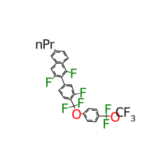 CCCc1ccc2c(F)c(-c3ccc(C(F)(F)Oc4ccc(C(F)(F)OC(F)(F)F)cc4)c(F)c3)c(F)cc2c1